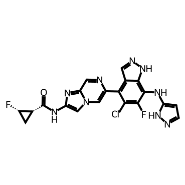 O=C(Nc1cn2cc(-c3c(Cl)c(F)c(Nc4ccn[nH]4)c4[nH]ncc34)ncc2n1)[C@@H]1C[C@@H]1F